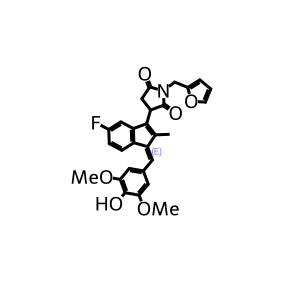 COc1cc(/C=C2/C(C)=C(C3CC(=O)N(Cc4ccco4)C3=O)c3cc(F)ccc32)cc(OC)c1O